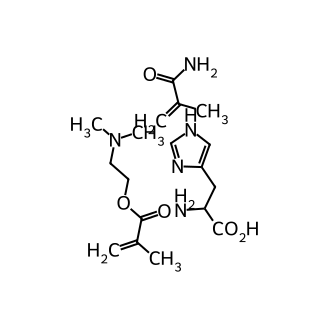 C=C(C)C(=O)OCCN(C)C.C=C(C)C(N)=O.NC(Cc1c[nH]cn1)C(=O)O